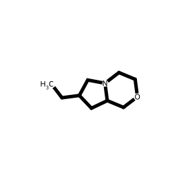 CCC1CC2COCCN2C1